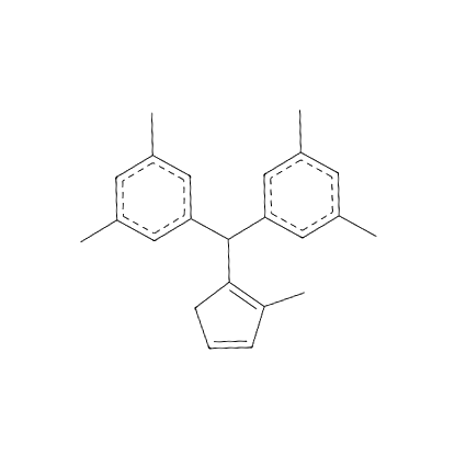 CC1=C(C(c2cc(C)cc(C)c2)c2cc(C)cc(C)c2)CC=C1